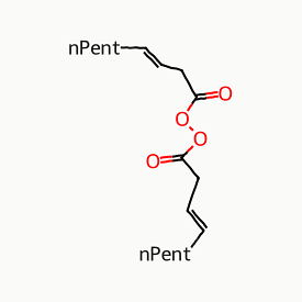 CCCCCC=CCC(=O)OOC(=O)CC=CCCCCC